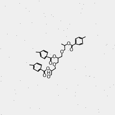 Cc1ccc(C(=O)OC(C)COCC(COCC(CO)OC(=O)c2ccc(C)cc2)OC(=O)c2ccc(C)cc2)cc1